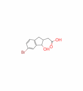 O=C(O)CC1Cc2ccc(Br)cc2C1O